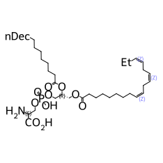 CC/C=C\C/C=C\C/C=C\CCCCCCCC(=O)OC[C@H](COP(=O)(O)OC[C@H](N)C(=O)O)OC(=O)CCCCCCCCCCCCCCCCC